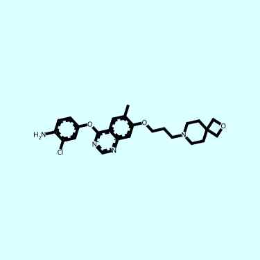 Cc1cc2c(Oc3ccc(N)c(Cl)c3)ncnc2cc1OCCCN1CCC2(CC1)COC2